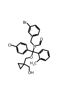 Cc1ccccc1C(OCC1(CO)CC1)(c1ccc(Cl)cc1)N(C=O)Cc1cccc(Br)c1